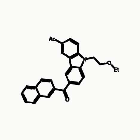 CCOCCn1c2ccc(C(C)=O)cc2c2cc(C(=O)c3ccc4ccccc4c3)ccc21